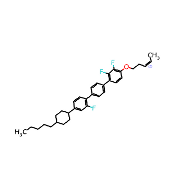 C/C=C\CCOc1ccc(-c2ccc(-c3ccc(C4CCC(CCCCC)CC4)cc3F)cc2)c(F)c1F